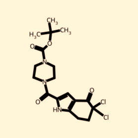 CC(C)(C)OC(=O)N1CCN(C(=O)c2cc3c([nH]2)CCC(Cl)(Cl)C3=O)CC1